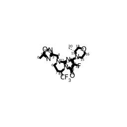 Cc1nc(CN2CC[C@H](C(F)(F)F)n3c2nc(N2CCOC[C@H]2C)c(F)c3=O)no1